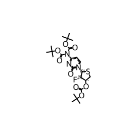 CC(C)(C)OC(=O)O[C]1CS[C@@H](n2ccc(N(C(=O)OC(C)(C)C)C(=O)OC(C)(C)C)nc2=O)[C@H]1F